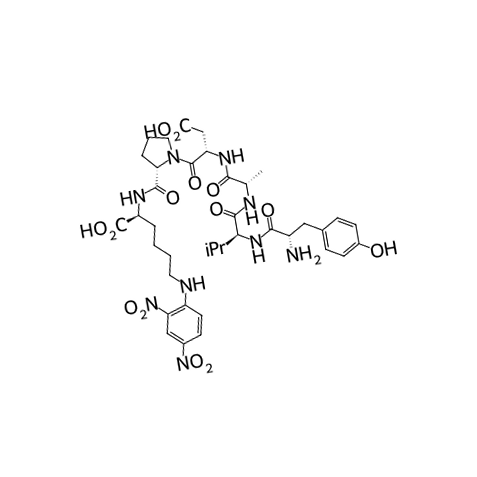 CC(C)[C@H](NC(=O)[C@@H](N)Cc1ccc(O)cc1)C(=O)N[C@@H](C)C(=O)N[C@@H](CC(=O)O)C(=O)N1CCC[C@H]1C(=O)N[C@@H](CCCCNc1ccc([N+](=O)[O-])cc1[N+](=O)[O-])C(=O)O